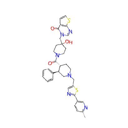 Cc1ccc(-c2ncc(CN3CC[C@@H](C(=O)N4CCC(O)(Cn5cnc6sccc6c5=O)CC4)[C@H](c4ccccc4)C3)s2)cn1